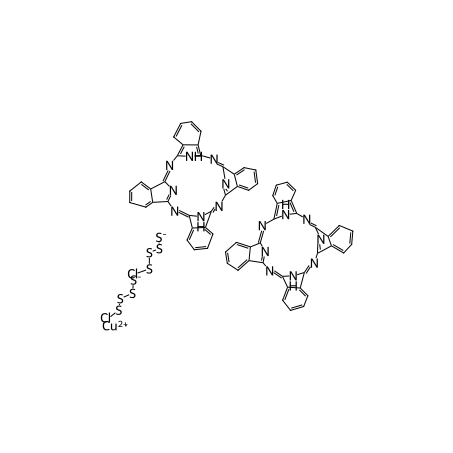 [Cu+2].[S-]SSSCl.[S-]SSSCl.c1ccc2c(c1)-c1nc-2nc2[nH]c(nc3nc(nc4[nH]c(n1)c1ccccc41)-c1ccccc1-3)c1ccccc21.c1ccc2c(c1)-c1nc-2nc2[nH]c(nc3nc(nc4[nH]c(n1)c1ccccc41)-c1ccccc1-3)c1ccccc21